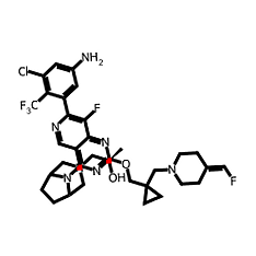 C[C@@H](O)CN1CC2CCC(C1)N2c1nc(OCC2(CN3CCC(=CF)CC3)CC2)nc2c(F)c(-c3cc(N)cc(Cl)c3C(F)(F)F)ncc12